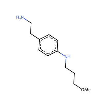 COCCCNc1ccc(CCN)cc1